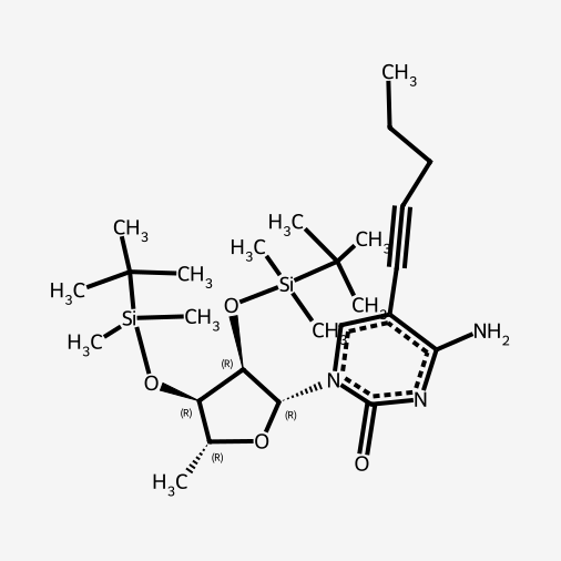 CCCC#Cc1cn([C@@H]2O[C@H](C)[C@@H](O[Si](C)(C)C(C)(C)C)[C@H]2O[Si](C)(C)C(C)(C)C)c(=O)nc1N